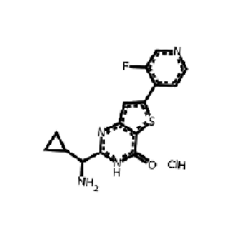 Cl.NC(c1nc2cc(-c3ccncc3F)sc2c(=O)[nH]1)C1CC1